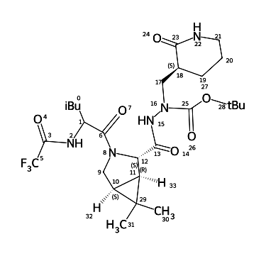 CCC(C)C(NC(=O)C(F)(F)F)C(=O)N1C[C@H]2[C@@H]([C@H]1C(=O)NN(C[C@@H]1CCCNC1=O)C(=O)OC(C)(C)C)C2(C)C